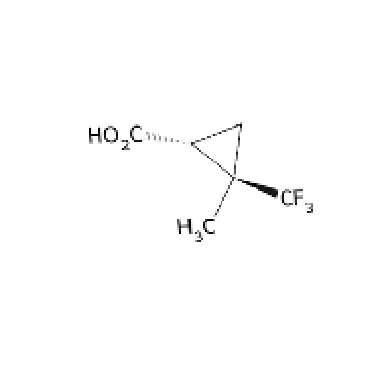 C[C@@]1(C(F)(F)F)C[C@H]1C(=O)O